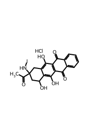 CC(=O)C1(NI)Cc2c(O)c3c(c(O)c2C(O)C1)C(=O)c1ccccc1C3=O.Cl